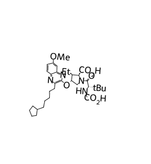 CC[C@@H]1[C@@H](Oc2nc3cc(OC)ccc3nc2CCCCCC2CCCC2)CN(C(=O)[C@@H](NC(=O)O)C(C)(C)C)[C@@H]1C(=O)O